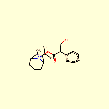 CC(C)[N+]1(C)C2CCCC1C(OC(=O)C(CO)c1ccccc1)C2